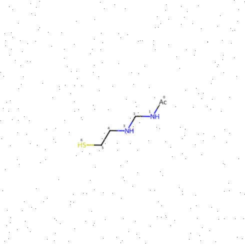 CC(=O)NCNCCS